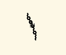 CCCCCC1CCC(CCc2cnc(-c3ccc(C4CCC(CCC)CC4)cc3)nc2)CC1